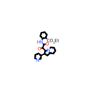 CCOC(=O)c1ccccc1NC(=O)C(=O)c1c(-c2cccnc2)cc2ccccn12